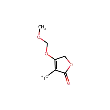 COCOC1=C(C)C(=O)OC1